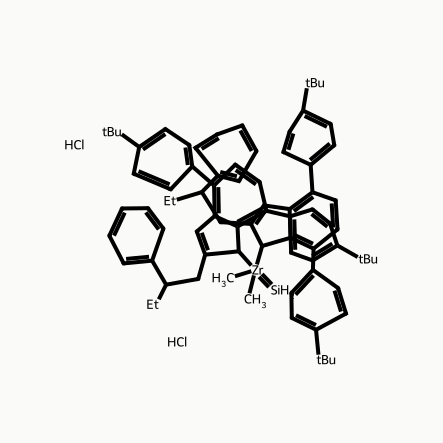 CCC(CC1=Cc2c(-c3ccc(C(C)(C)C)cc3)ccc(-c3ccc(C(C)(C)C)cc3)c2[CH]1[Zr]([CH3])([CH3])(=[SiH2])[CH]1C(CC(CC)c2ccccc2)=Cc2c(-c3ccc(C(C)(C)C)cc3)ccc(-c3ccc(C(C)(C)C)cc3)c21)c1ccccc1.Cl.Cl